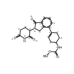 CC(C)(C)OC(=O)NC1CC=C(c2cccc3c2CN(C2CCC(=O)NC2=O)C3=O)CC1